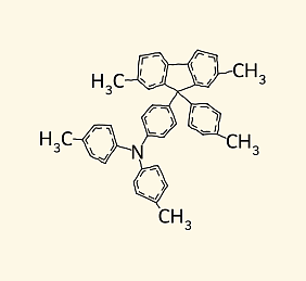 Cc1ccc(N(c2ccc(C)cc2)c2ccc(C3(c4ccc(C)cc4)c4cc(C)ccc4-c4ccc(C)cc43)cc2)cc1